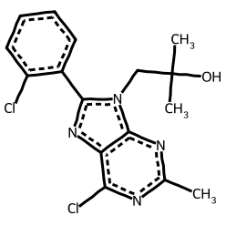 Cc1nc(Cl)c2nc(-c3ccccc3Cl)n(CC(C)(C)O)c2n1